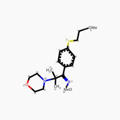 COCCSc1ccc(C(=NOC)C(C)(C)N2CCOCC2)cc1